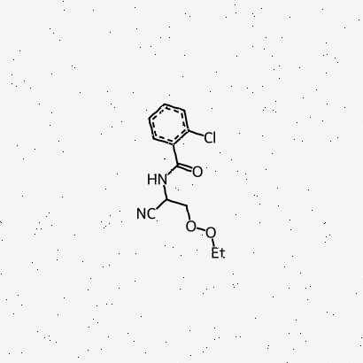 CCOOCC(C#N)NC(=O)c1ccccc1Cl